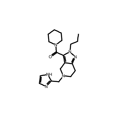 CCCn1nc2c(c1C(=O)N1CCCCC1)CN(Cc1ncc[nH]1)CC2